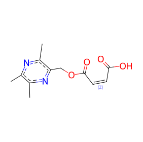 Cc1nc(C)c(COC(=O)/C=C\C(=O)O)nc1C